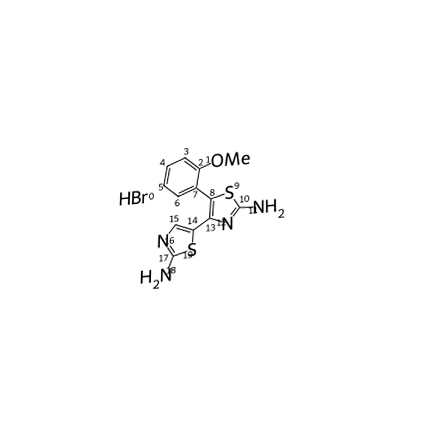 Br.COc1ccccc1-c1sc(N)nc1-c1cnc(N)s1